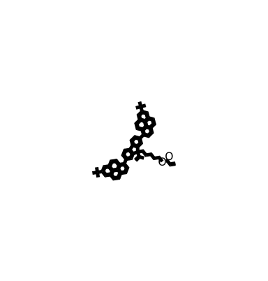 C=CC(=O)OCCCCCC1(C(=C)C)c2cc(-c3ccc4ccc5cc(C(C)(C)C)cc6ccc3c4c56)ccc2-c2ccc(-c3ccc4ccc5cc(C(C)(C)C)cc6ccc3c4c56)cc21